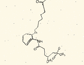 CC(CCC(=O)Nc1ccccc1OCCCCCCC(=O)O)CS(C)(=O)=O